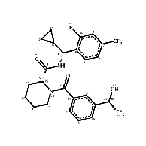 O=C(N[C@@H](c1ccc(C(F)(F)F)cc1F)C1CC1)[C@H]1CCCCN1C(=O)c1cccc([C@@H](O)C(F)(F)F)c1